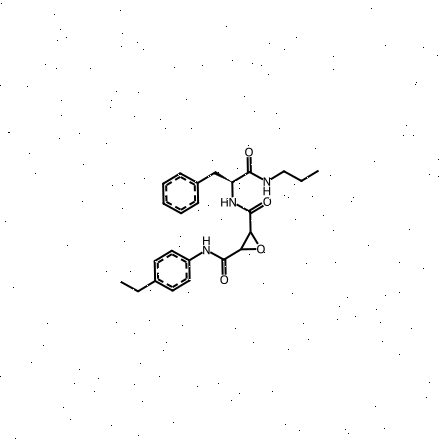 CCCNC(=O)[C@H](Cc1ccccc1)NC(=O)C1OC1C(=O)Nc1ccc(CC)cc1